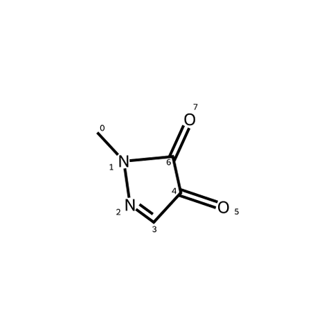 CN1N=CC(=O)C1=O